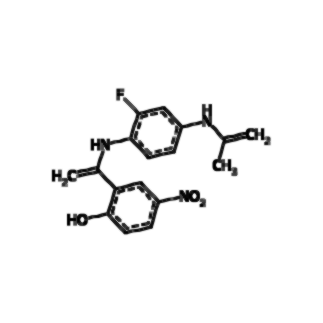 C=C(C)Nc1ccc(NC(=C)c2cc([N+](=O)[O-])ccc2O)c(F)c1